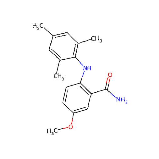 COc1ccc(Nc2c(C)cc(C)cc2C)c(C(N)=O)c1